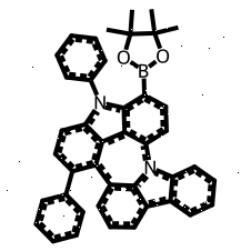 CC1(C)OB(c2ccc3c4c5c(c(-c6ccccc6)ccc5n(-c5ccccc5)c24)c2cccc4c5ccccc5n3c42)OC1(C)C